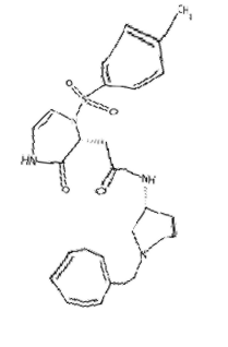 Cc1ccc(S(=O)(=O)N2C=CNC(=O)[C@H]2CC(=O)N[C@@H]2CCN(Cc3ccccc3)C2)cc1